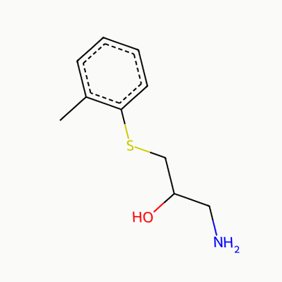 Cc1ccccc1SCC(O)CN